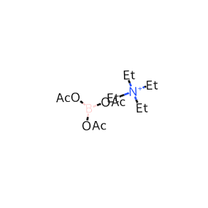 CC(=O)OB(OC(C)=O)OC(C)=O.CC[N+](CC)(CC)CC